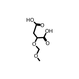 COCOC(CC(=O)O)C(=O)O